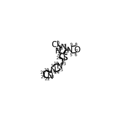 Clc1nc(N2CCOCC2)c2sc(CN3CCN(c4ccccn4)CC3)cc2n1